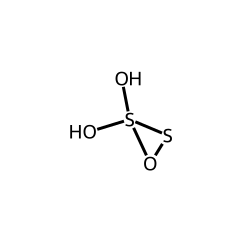 OS1(O)OS1